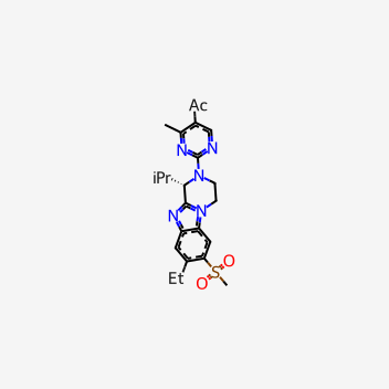 CCc1cc2nc3n(c2cc1S(C)(=O)=O)CCN(c1ncc(C(C)=O)c(C)n1)[C@H]3C(C)C